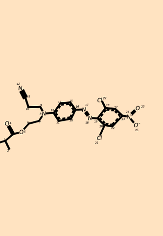 CC(C)C(=O)OCCN(CCC#N)c1ccc(N=Nc2c(Cl)cc([N+](=O)[O-])cc2Cl)cc1